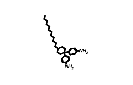 CCCCCCCCCCCCC1CCC(c2ccc(N)cc2)(c2ccc(N)cc2)CC1